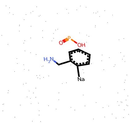 NCc1cccc[c]1[Na].O=PO